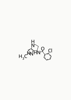 Cn1cc2c(n1)C(NC(=O)c1ccccc1Cl)CCN2